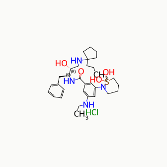 CCCC1(NC[C@@H](O)[C@H](Cc2ccccc2)NC(=O)c2cc(NCC)cc(N3CCCCS3(O)O)c2)CCCC1.Cl